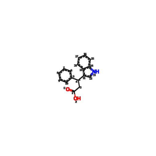 O=C(O)C[C](c1ccccc1)c1c[nH]c2ccccc12